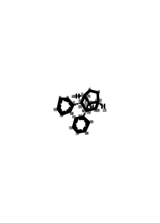 CN1[C@H]2CC[C@@H]1[C@@H](c1ccccc1)[C@@H](c1ccccc1)C2